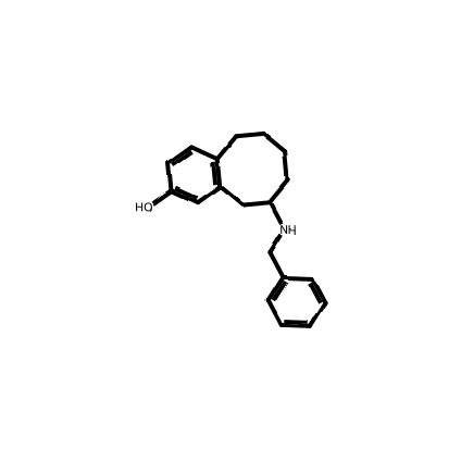 Oc1ccc2c(c1)CC(NCc1ccccc1)CCCC2